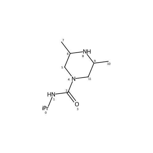 CC(C)NC(=O)N1CC(C)NC(C)C1